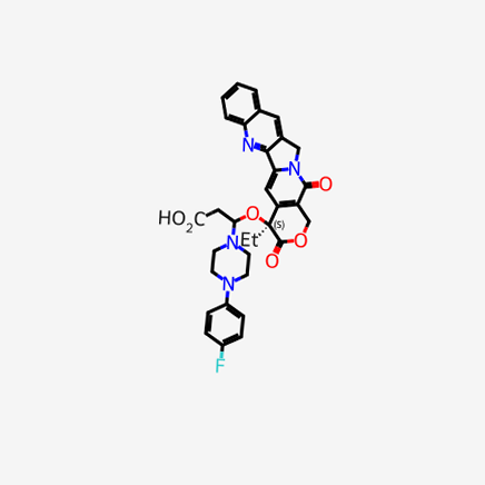 CC[C@@]1(OC(CC(=O)O)N2CCN(c3ccc(F)cc3)CC2)C(=O)OCc2c1cc1n(c2=O)Cc2cc3ccccc3nc2-1